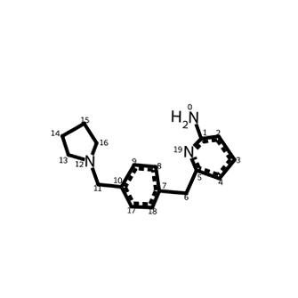 Nc1cccc(Cc2ccc(CN3CCCC3)cc2)n1